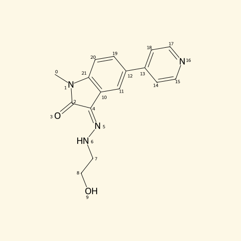 CN1C(=O)C(=NNCCO)c2cc(-c3ccncc3)ccc21